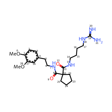 COc1ccc(CCNC(=O)C2(C(=O)NCCCCNC(=N)N)CCCC2)cc1OC